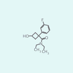 CCN(CC)C(=O)C1(c2cccc(F)c2)CC(O)C1